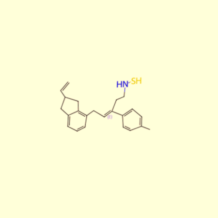 C=CC1Cc2cccc(C/C=C(\CCNS)c3ccc(C)cc3)c2C1